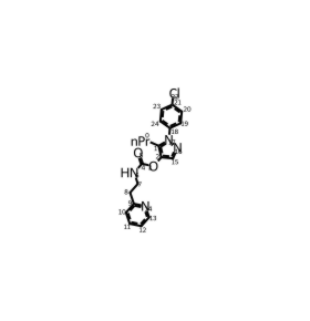 CCCc1c(OC(=O)NCCc2ccccn2)cnn1-c1ccc(Cl)cc1